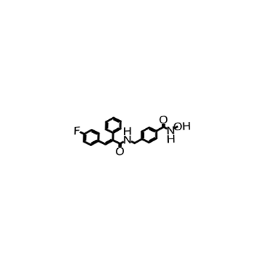 O=C(NCc1ccc(C(=O)NO)cc1)C(=Cc1ccc(F)cc1)c1ccccc1